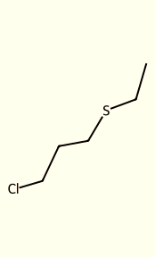 CCSCCCCl